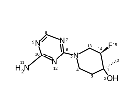 C[C@]1(O)CCN(c2ncnc(N)n2)C[C@H]1F